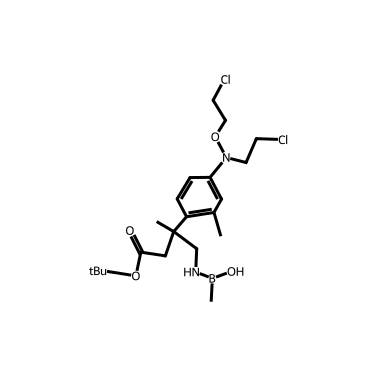 CB(O)NCC(C)(CC(=O)OC(C)(C)C)c1ccc(N(CCCl)OCCCl)cc1C